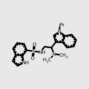 CC(C)n1cc(C(CNS(=O)(=O)c2cccc3cc[nH]c23)N(C)C)c2ccccc21